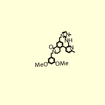 COc1cc(CN2CCc3c(cc(Cn4ccn(C)c4=N)cc3-c3ccc(C)nc3C)C2=O)cc(OC)c1